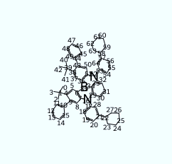 CC(C)(C)c1cc2c(cc1-c1ccccc1)N(c1cccc(C3CCCCC3)c1)c1cccc3c1B2c1cc(C(C)(C)C)c(-c2ccccc2)cc1N3c1cccc(C2CCCCC2)c1